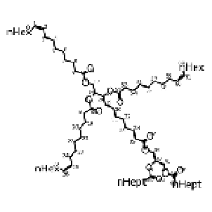 CCCCCC/C=C\CCCCCCCC(=O)OCC(OC(=O)CCCCCCC/C=C\CCCCCC)C(CCCCCCCC(=O)OCC(COC(=O)CCCCCCC)OC(=O)CCCCCCC)OC(=O)CCCCCCC/C=C\CCCCCC